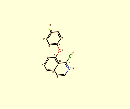 Fc1ccc(Oc2cccc3ccnc(Cl)c23)cc1